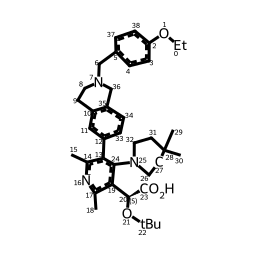 CCOc1ccc(CN2CCc3cc(-c4c(C)nc(C)c([C@H](OC(C)(C)C)C(=O)O)c4N4CCC(C)(C)CC4)ccc3C2)cc1